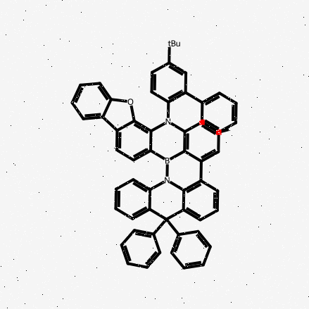 Cc1cc2c3c(c1)N(c1ccc(C(C)(C)C)cc1-c1ccccc1)c1c(ccc4c1oc1ccccc14)B3N1c3ccccc3C(c3ccccc3)(c3ccccc3)c3cccc-2c31